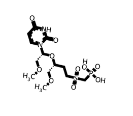 COC[C@@H](CCS(=O)(=O)CP(=O)(O)O)O[C@H](COC)n1ccc(=O)[nH]c1=O